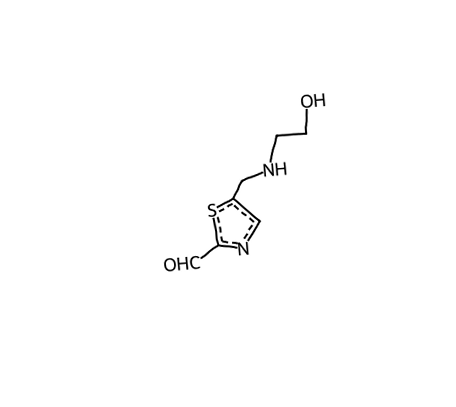 O=Cc1ncc(CNCCO)s1